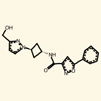 O=C(N[C@H]1C[C@H](n2ccc(CO)n2)C1)c1cc(-c2ccccc2)on1